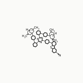 C[C@@H]1C[C@@H]2C[C@H](C)CC(c3ccc(-c4ccccc4-c4nc(-c5ccc(-c6cccc7c6sc6ccc(C#N)cc67)cc5)nc(-c5ccccc5-c5ccc(C67C[C@H](C)C[C@H](C[C@H](C)C6)C7)cc5)n4)cc3)(C1)C2